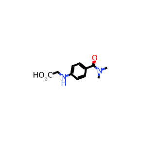 CN(C)C(=O)c1ccc(NCC(=O)O)cc1